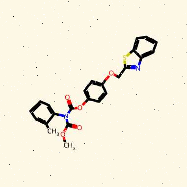 COC(=O)N(C(=O)Oc1ccc(OCc2nc3ccccc3s2)cc1)c1ccccc1C